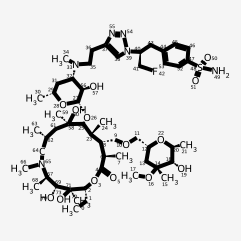 CC[C@H]1OC(=O)[C@H](C)[C@@H](COC[C@H]2C[C@@](C)(OC)[C@@H](O)[C@H](C)O2)[C@H](C)[C@@H](O[C@@H]2O[C@H](C)C[C@H](N(C)CCc3cn([C@H](CF)Cc4ccc(S(N)(=O)=O)cc4)nn3)[C@H]2O)[C@](C)(O)C[C@@H](C)CN(C)[C@H](C)[C@@H](O)[C@]1(C)O